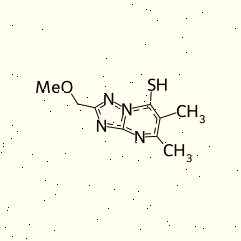 COCc1nc2nc(C)c(C)c(S)n2n1